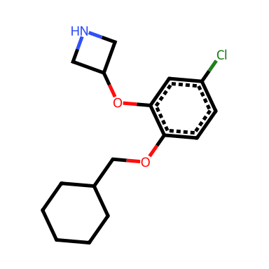 Clc1ccc(OCC2CCCCC2)c(OC2CNC2)c1